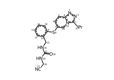 CC(C)c1nnc2ccc(Sc3ccccc3CNC(=O)NCC#N)cn12